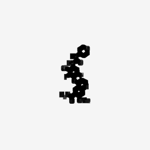 COc1cc2nccc(Oc3c(F)cc(NC(=O)NC4CCOCC4)c(Cl)c3F)c2cc1C(N)=O